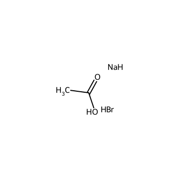 Br.CC(=O)O.[NaH]